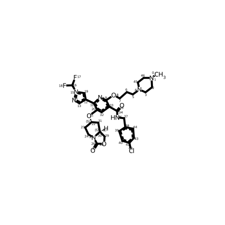 CN1CCN(CCCOc2nc(-c3cnn(C(F)F)c3)c(O[C@H]3CCN4C(=O)OC[C@@H]4C3)cc2C(=O)NCc2ccc(Cl)cc2)CC1